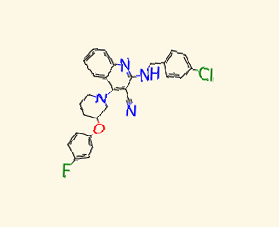 N#Cc1c(NCc2ccc(Cl)cc2)nc2ccccc2c1N1CCCC(Oc2ccc(F)cc2)C1